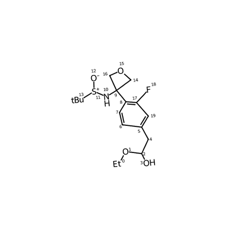 CCOC(O)Cc1ccc(C2(N[S+]([O-])C(C)(C)C)COC2)c(F)c1